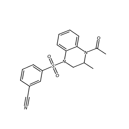 CC(=O)N1c2ccccc2N(S(=O)(=O)c2cccc(C#N)c2)CC1C